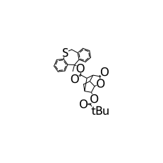 CC(C)(C)C(=O)OC1C2CC3C1OC(=O)C3C2C(=O)OC1(C)c2ccccc2CSc2ccccc21